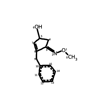 CON=C1CC(O)C=C1Cc1ccccc1